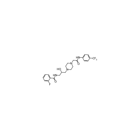 O=C(CN1CCN(CC(O)CNC(=O)c2ccccc2F)CC1)Nc1ccc(C(F)(F)F)cc1